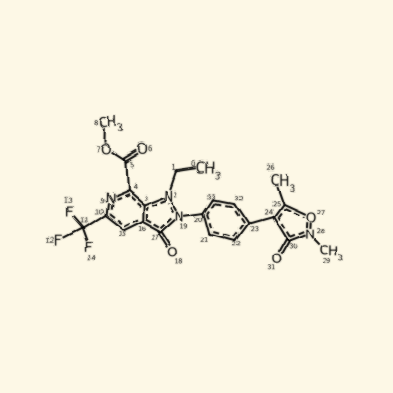 CCn1c2c(C(=O)OC)nc(C(F)(F)F)cc2c(=O)n1-c1ccc(-c2c(C)on(C)c2=O)cc1